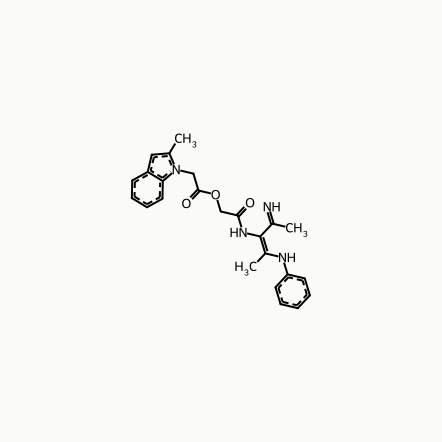 CC(=N)/C(NC(=O)COC(=O)Cn1c(C)cc2ccccc21)=C(/C)Nc1ccccc1